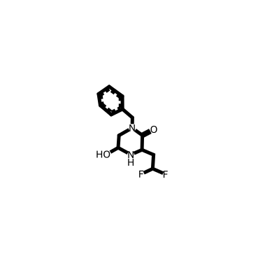 O=C1C(CC(F)F)NC(O)CN1Cc1ccccc1